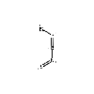 S=NB=PS